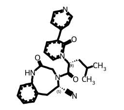 CC(C)C[C@H](C(=O)N1CC(=O)Nc2ccccc2C[C@H]1C#N)n1cccc(-c2ccncc2)c1=O